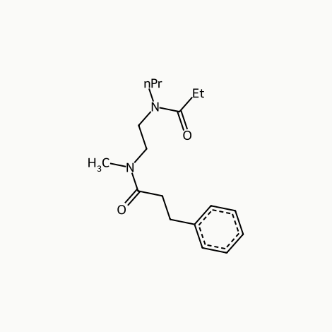 CCCN(CCN(C)C(=O)CCc1ccccc1)C(=O)CC